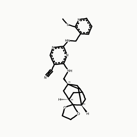 CSc1ncccc1CNc1ncc(C#N)c(NC[C@]23CC4C[C@H](C2)C2(OCCO2)[C@@H](C4)C3)n1